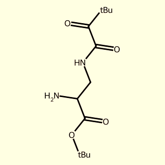 CC(C)(C)OC(=O)C(N)CNC(=O)C(=O)C(C)(C)C